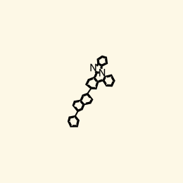 c1ccc(-c2ccc3cc(-c4ccc5c(c4)c4ccccc4n4c6ccccc6nc54)ccc3c2)cc1